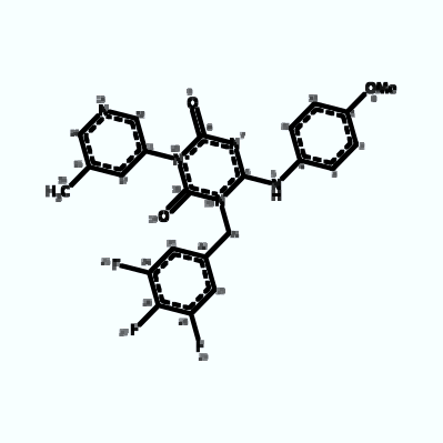 COc1ccc(Nc2nc(=O)n(-c3cncc(C)c3)c(=O)n2Cc2cc(F)c(F)c(F)c2)cc1